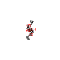 O=C(OCCc1ccccc1)c1ccc(O)c(S(=O)(=O)c2cc(C(=O)OCCc3ccccc3)ccc2O)c1